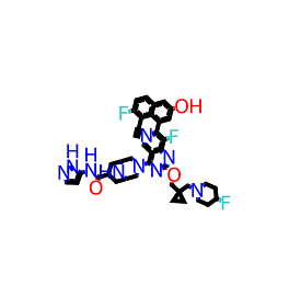 C#Cc1c(F)ccc2cc(O)cc(-c3ncc4c(N5CC6CC(C(=O)Nc7ccn[nH]7)CC(C5)N6)nc(OCC5(CN6CCC(F)CC6)CC5)nc4c3F)c12